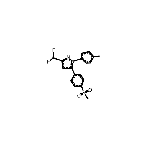 CS(=O)(=O)c1ccc(-c2cc(C(F)F)nn2-c2ccc(I)cc2)cc1